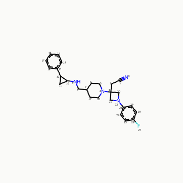 N#CCC1(N2CCC(CNC3CC3c3ccccc3)CC2)CN(c2ccc(F)cc2)C1